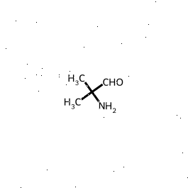 CC(C)(N)C=O